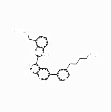 COCc1cccc2[nH]c(-c3n[nH]c4ncc(-c5cncc(CCCCN)c5)cc34)nc12